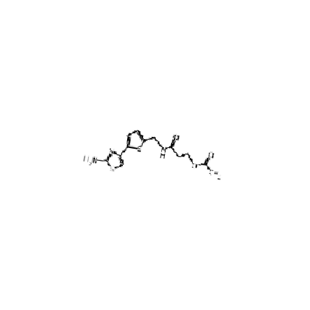 CC(=O)OCCC(=O)NCc1ccc(-c2csc(N)n2)s1